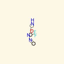 FC(F)c1cc(CN2Cc3ccccc3C2)ncc1OCC1CCNCC1